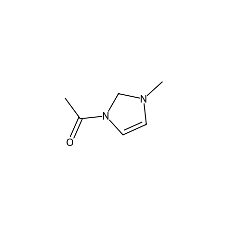 CC(=O)N1C=CN(C)C1